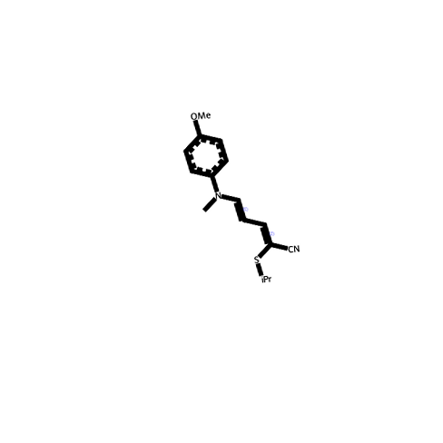 COc1ccc(N(C)/C=C/C=C(/C#N)SC(C)C)cc1